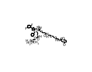 CC(C)(C)C(c1cc(-c2cc(F)ccc2F)cn1Cc1ccccc1)N(CCCNC(=O)OCC[Si](C)(C)C)C(=O)CSCCC(=O)NCCOCCOCCNC(=O)CN1C(=O)C=CC1=O